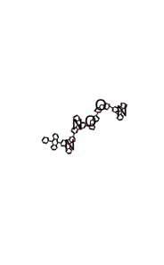 c1ccc(-c2c3ccccc3c(-c3cc4c5ccccc5n5c6ccc(-c7ccc8c(c7)c7cc(-c9cccc%10c9oc9cc(-c%11ccc%12oc%13ccc(-c%14cc%15c%16ccccc%16n%16c%17ccccc%17c(c%14)c%15%16)cc%13c%12c%11)ccc9%10)cc9c%10ccccc%10n8c97)cc6c(c3)c45)c3ccccc23)cc1